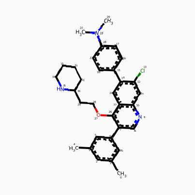 Cc1cc(C)cc(-c2cnc3cc(Cl)c(-c4ccc(N(C)C)cc4)cc3c2OCCC2CCCCN2)c1